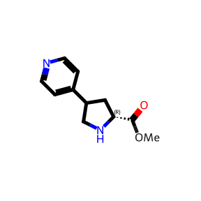 COC(=O)[C@H]1CC(c2ccncc2)CN1